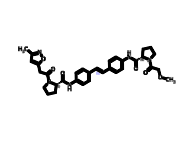 COCC(=O)N1CCC[C@H]1C(=O)Nc1ccc(/C=C/c2ccc(NC(=O)[C@@H]3CCCN3C(=O)Cc3cc(C)no3)cc2)cc1